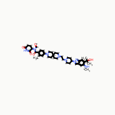 CNc1cc2cn(C3CCN(CCN4CCC5(CC4)CCN(c4ccc(C(=O)N(C=O)C6CCC(=O)NC6=O)c(C)c4)CC5)CC3)nc2cc1C(C)(C)O